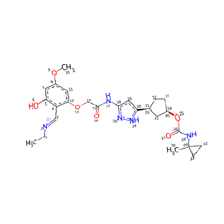 CC/N=C/c1c(O)cc(OC)cc1OCC(=O)Nc1cc([C@H]2CC[C@@H](OC(=O)NC3(C)CC3)C2)[nH]n1